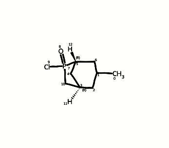 CC1C[C@@H]2C[C@@H](C1)P(=O)(Cl)C2